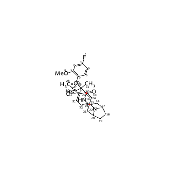 COc1cc(F)ccc1OC(C)(C)C(=O)NC1CC2CCC(C1)N2c1ccc(S(C)(=O)=O)cc1